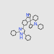 C1=C(c2ccccc2)NC(c2ccccc2)N=C1c1ccc2c(c1)C1(c3ccccc3N(c3ccccc3)c3ccccc31)c1cccnc1-2